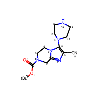 CC(C)(C)OC(=O)N1CCn2c(nc(C#N)c2N2CCNCC2)C1